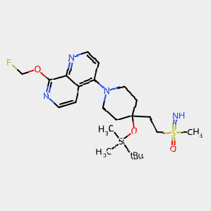 CC(C)(C)[Si](C)(C)OC1(CCS(C)(=N)=O)CCN(c2ccnc3c(OCF)nccc23)CC1